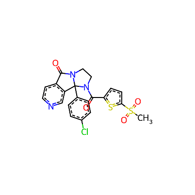 CS(=O)(=O)c1ccc(C(=O)N2CCN3C(=O)c4ccncc4C23c2ccc(Cl)cc2)s1